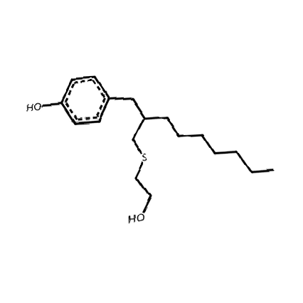 CCCCCCCC(CSCCO)Cc1ccc(O)cc1